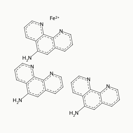 Nc1cc2cccnc2c2ncccc12.Nc1cc2cccnc2c2ncccc12.Nc1cc2cccnc2c2ncccc12.[Fe+2]